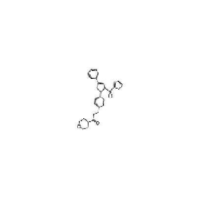 O=C(CCc1ccc(C2CC(c3ccccc3)=CC2C(=O)C2=CC=CC2)cc1)C1CCOCC1